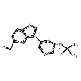 CC(C)(C)Nc1cncc(-n2cnc3ccc(C=O)cc32)n1